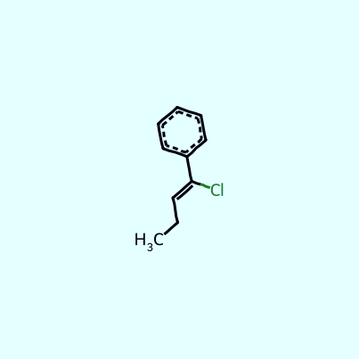 CCC=C(Cl)c1ccccc1